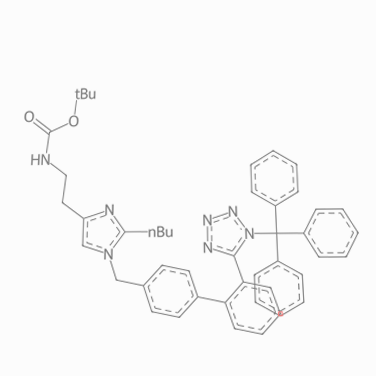 CCCCc1nc(CCNC(=O)OC(C)(C)C)cn1Cc1ccc(-c2ccccc2-c2nnnn2C(c2ccccc2)(c2ccccc2)c2ccccc2)cc1